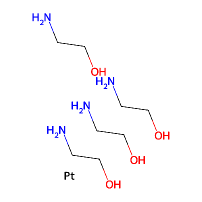 NCCO.NCCO.NCCO.NCCO.[Pt]